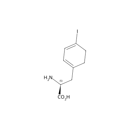 N[C@@H](CC1=CC=C(I)CC1)C(=O)O